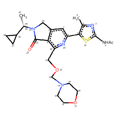 CC(=O)Nc1nc(C)c(-c2cc3c(c(COCN4CCOCC4)n2)C(=O)N([C@@H](C)C2CC2)C3)s1